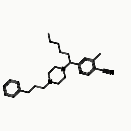 CCCCCC(c1ccc(C#N)c(C)c1)N1CCN(CCCc2ccccc2)CC1